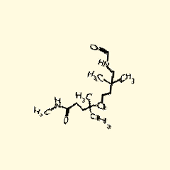 CNC(=O)CCC(C)(C)OCCC(C)(C)CNC=O